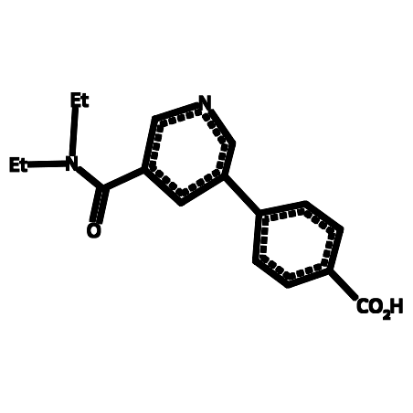 CCN(CC)C(=O)c1cncc(-c2ccc(C(=O)O)cc2)c1